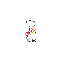 CCCCCCCCCCCCOC(C)OS(=O)(=O)OC(C)OCCCCCCCCCCCC